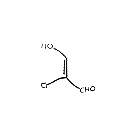 O=CC(Cl)=CO